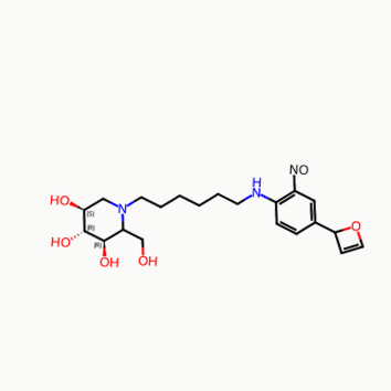 O=Nc1cc(C2C=CO2)ccc1NCCCCCCN1C[C@H](O)[C@@H](O)[C@H](O)C1CO